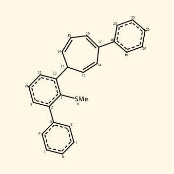 CSc1c(-c2ccccc2)cccc1C1C=CC=C(c2ccccc2)C=C1